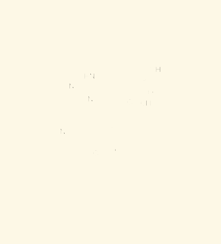 COc1cc(Nc2ncc3c(n2)-c2ccc(Cl)cc2C(c2ccccc2OCF)=NC3)ccc1C(=O)O